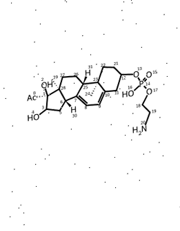 CC(=O)[C@@]1(O)C(O)C[C@H]2C3=CC=C4CC(OP(=O)(O)OCCN)CC[C@]4(C)[C@H]3CC[C@@]21C